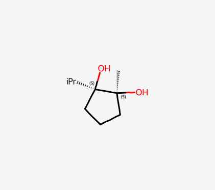 CC(C)[C@@]1(O)CCC[C@]1(C)O